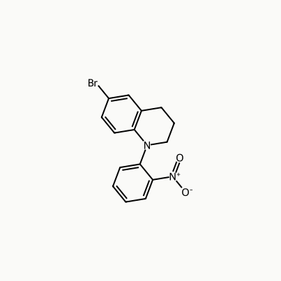 O=[N+]([O-])c1ccccc1N1CCCc2cc(Br)ccc21